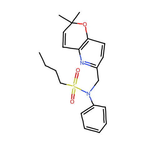 CCCCS(=O)(=O)N(Cc1ccc2c(n1)C=CC(C)(C)O2)c1ccccc1